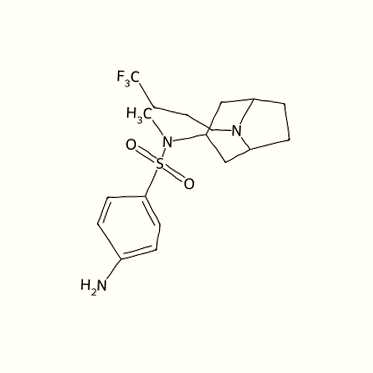 CN(C1CC2CCC(C1)N2CCCC(F)(F)F)S(=O)(=O)c1ccc(N)cc1